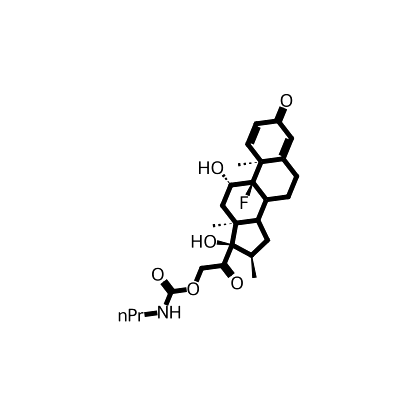 CCCNC(=O)OCC(=O)[C@@]1(O)[C@H](C)CC2C3CCC4=CC(=O)C=C[C@]4(C)[C@@]3(F)[C@@H](O)C[C@@]21C